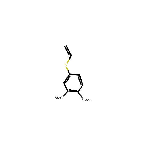 C=CSc1ccc(OC)c(OC)c1